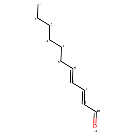 CCCCCC/C=C/C=C/C=O